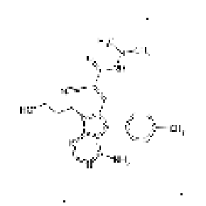 Cc1ccc(-c2c(/C=C(\C#N)C(=O)NN(C)C)n(CCCO)c3ncnc(N)c23)cc1